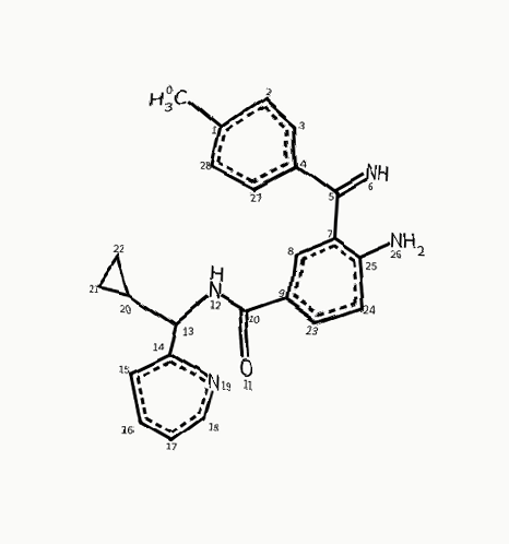 Cc1ccc(C(=N)c2cc(C(=O)NC(c3ccccn3)C3CC3)ccc2N)cc1